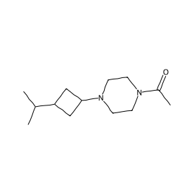 CC(=O)N1CCN(C2CC(C(C)C)C2)CC1